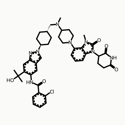 CN(C[C@H]1CC[C@H](n2cc3cc(NC(=O)c4ccccc4Cl)c(C(C)(C)O)cc3n2)CC1)C1CCN(c2cccc3c2n(C)c(=O)n3C2CCC(=O)NC2=O)CC1